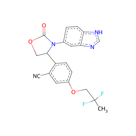 CC(F)(F)COc1ccc(C2COC(=O)N2c2ccc3[nH]cnc3c2)c(C#N)c1